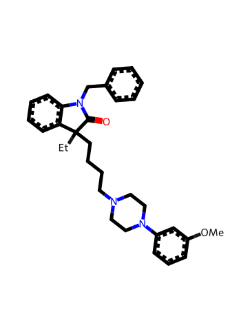 CCC1(CCCCN2CCN(c3cccc(OC)c3)CC2)C(=O)N(Cc2ccccc2)c2ccccc21